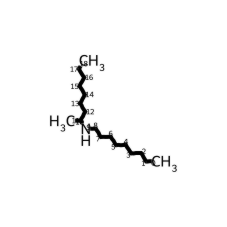 CCCCCCCCCNC(C)CCCCCCC